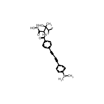 CN(C)c1ccc(C#CC#Cc2ccc(C(=O)NC(C(=O)NO)C(C)(O)C(F)F)cc2)cc1